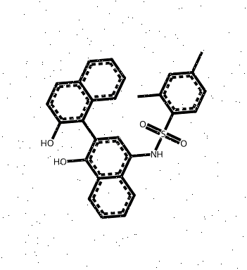 Cc1ccc(S(=O)(=O)Nc2cc(-c3c(O)ccc4ccccc34)c(O)c3ccccc23)c(C)c1